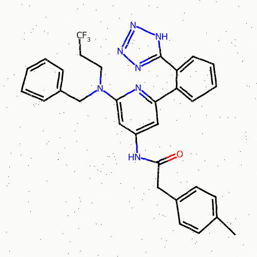 Cc1ccc(CC(=O)Nc2cc(-c3ccccc3-c3nnn[nH]3)nc(N(CCC(F)(F)F)Cc3ccccc3)c2)cc1